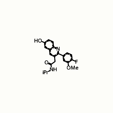 COc1cc(-c2nc3ccc(O)cc3cc2CC(=O)NC(C)C)ccc1F